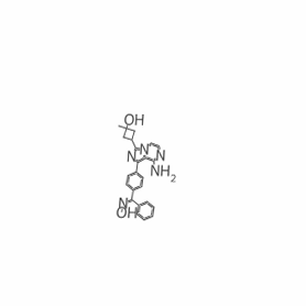 CC1(O)CC(c2nc(-c3ccc(/C(=N/O)c4ccccc4)cc3)c3c(N)nccn23)C1